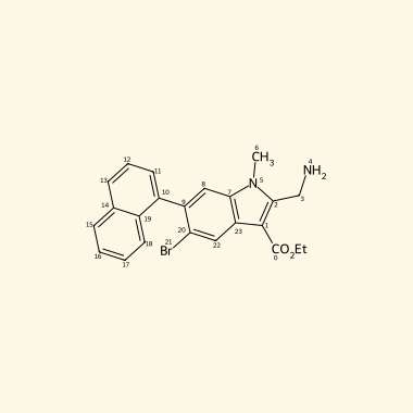 CCOC(=O)c1c(CN)n(C)c2cc(-c3cccc4ccccc34)c(Br)cc12